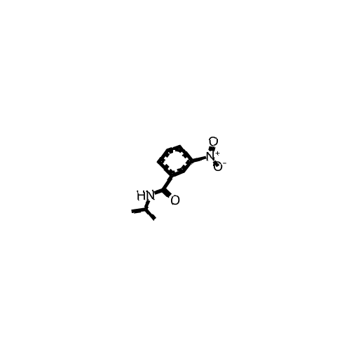 CC(C)NC(=O)c1cccc([N+](=O)[O-])c1